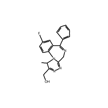 CC1C(CO)=NN=C2CN=C(c3ccccc3)c3cc(F)ccc3N21